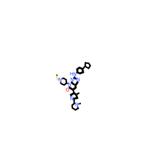 CSN1CCC(n2c(=O)c(-c3cnc(C4CCCCN4C)cc3C)cc3cnc(Nc4ccc(C5CCCC5)cc4)nc32)CC1